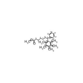 COC(=O)CCCCCC(c1ccccc1)c1c(C)c(C)c(C)c(C)c1C